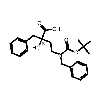 CC(C)(C)OC(=O)N(CC[C@](O)(Cc1ccccc1)C(=O)O)Cc1ccccc1